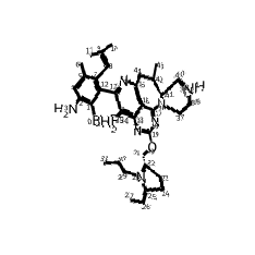 Bc1c(N)cc(C)c(C=C(C)C)c1-c1nc2c3c(nc(OC[C@@H]4CCC(CC)N4CCC)nc3c1F)N1CCNCC1C(C)C2